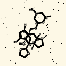 CCCN1C[C@H](OC[C@@]23C[C@@H]4[C@H](C)CC[C@H]4[C@@]4(C5OCCO5)C[C@@H]2C=C(C(C)C)[C@@]34C(=O)O)O[C@H](C)C1